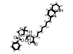 CC1(C)SCN(S(=O)(=O)c2ccccc2)[C@H]1C(=O)N[C@@H](CCCCCCCc1ccc2c(n1)NCCC2)C(=O)O